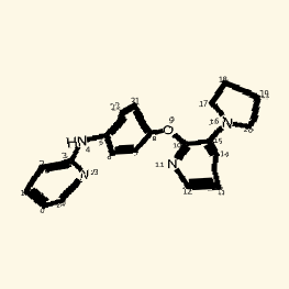 c1ccc(Nc2ccc(Oc3ncccc3N3CCCC3)cc2)nc1